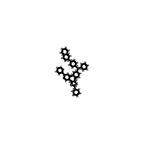 c1ccc(-c2ccc3c(c2)c2cc(N(c4ccccc4)c4ccc(-c5ccc6ccccc6c5)cc4)ccc2c2nc(-c4ccccc4)oc32)cc1